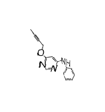 CC#CCOc1cc(Nc2ccccc2)ncn1